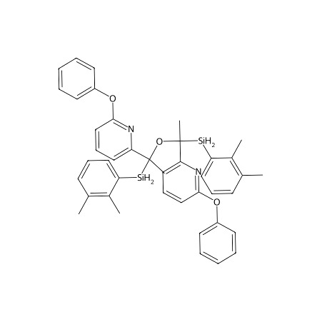 Cc1cccc([SiH2]C(C)(OC(C)([SiH2]c2cccc(C)c2C)c2cccc(Oc3ccccc3)n2)c2cccc(Oc3ccccc3)n2)c1C